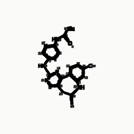 CC(C)(C)C(=O)Nc1ccc(Nc2ncc3c(n2)-c2ccc(Cl)cc2NC(=S)C3)cn1